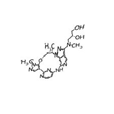 CC1CCOc2c(cnn2C)-c2nccc(n2)Nc2cc3c(cn2)c(N(C)CC(O)CO)nn31